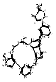 C[C@H]1CCOc2c(cnn2C)-c2nccc(n2)Nc2cc3c(cn2)c(-c2cccc(N4CCC(O)CC4)c2)nn31